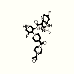 NC1NN2CC(F)CN=C2C1C(=O)NC1CNCC(F)C1N1CCC(C(=O)N2CCN(C3COC3)CC2)CC1